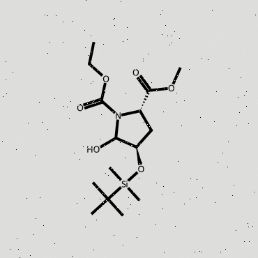 CCOC(=O)N1C(O)[C@H](O[Si](C)(C)C(C)(C)C)C[C@H]1C(=O)OC